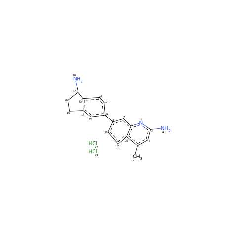 Cc1cc(N)nc2cc(-c3ccc4c(c3)CCC4N)ccc12.Cl.Cl